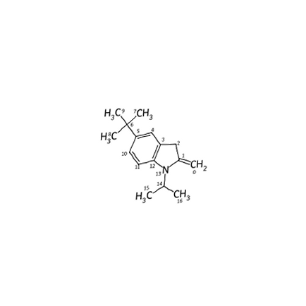 C=C1Cc2cc(C(C)(C)C)ccc2N1C(C)C